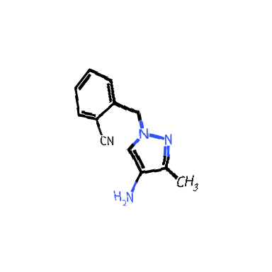 Cc1nn(Cc2ccccc2C#N)cc1N